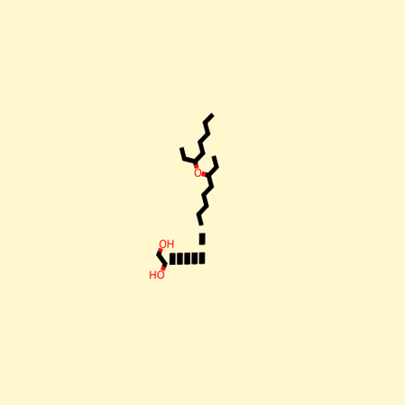 C=C.C=C.C=C.C=C.C=C.C=C.CCCCCC(CC)OC(CC)CCCCC.OCCO